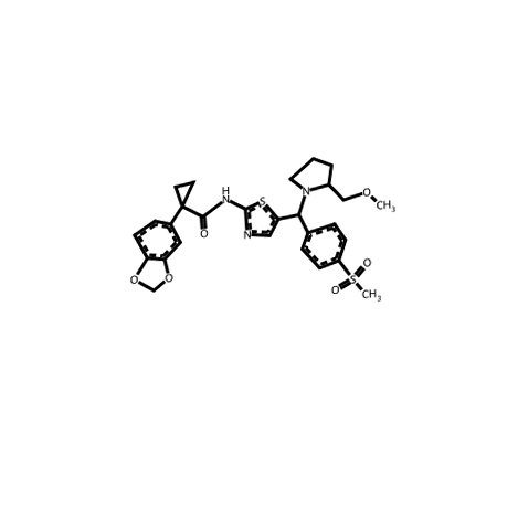 COCC1CCCN1C(c1ccc(S(C)(=O)=O)cc1)c1cnc(NC(=O)C2(c3ccc4c(c3)OCO4)CC2)s1